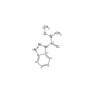 CON(C)C(=O)n1nnc2ccccc21